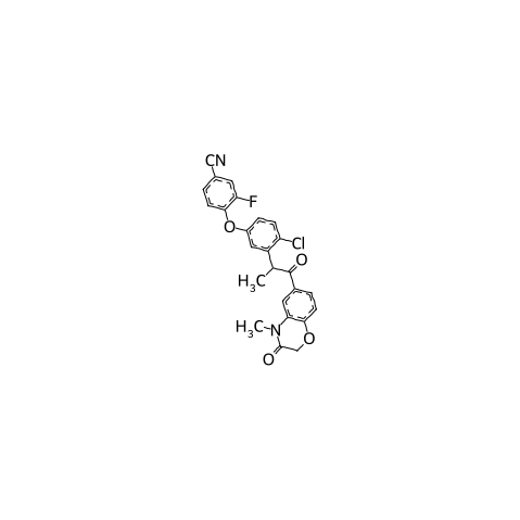 CC(C(=O)c1ccc2c(c1)N(C)C(=O)CO2)c1cc(Oc2ccc(C#N)cc2F)ccc1Cl